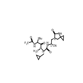 CN(C(=O)C(NC(=O)C(F)(F)F)C(C)(C)C)[C@@H](CC1CC1)C(=O)N[C@H](C#N)C[C@@H]1CC2(CC2)NC1=O